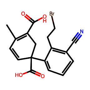 CC1=C(C(=O)O)CC(C(=O)O)(c2cccc(C#N)c2CCBr)C=C1